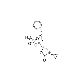 CS(=O)(=O)O[C@H](COCc1ccccc1)[C@@H]1C[C@@H](C2CC2)C(=O)O1